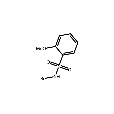 COc1ccccc1S(=O)(=O)NBr